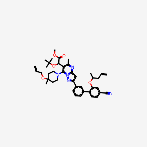 C=CCOC1(C)CCN(c2c(C(OC(C)(C)C)C(=O)OC)c(C)nc3cc(-c4cccc(-c5ccc(C#N)cc5OC(C)CC=C)c4)nn23)CC1